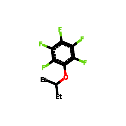 CCC(CC)Oc1c(F)c(F)c(F)c(F)c1F